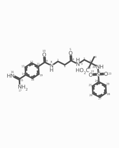 CC(CNC(=O)CCNC(=O)c1ccc(C(=N)N)cc1)(NS(=O)(=O)c1ccccc1)C(=O)O